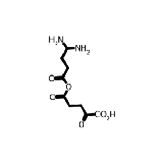 NC(N)CCC(=O)OC(=O)CCC(=O)C(=O)O